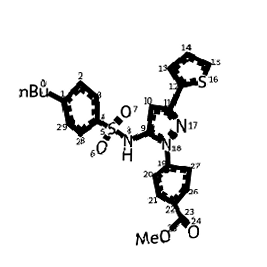 CCCCc1ccc(S(=O)(=O)Nc2cc(-c3cccs3)nn2-c2ccc(C(=O)OC)cc2)cc1